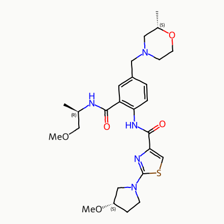 COC[C@@H](C)NC(=O)c1cc(CN2CCO[C@@H](C)C2)ccc1NC(=O)c1csc(N2CC[C@H](OC)C2)n1